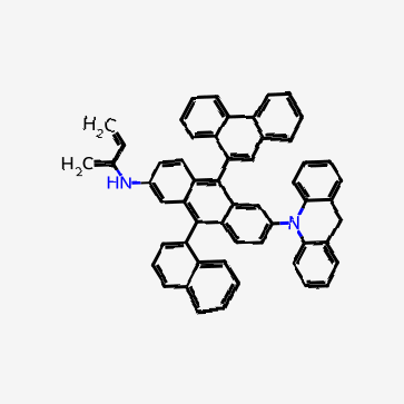 C=CC(=C)Nc1ccc2c(-c3cc4ccccc4c4ccccc34)c3cc(N4c5ccccc5Cc5ccccc54)ccc3c(-c3cccc4ccccc34)c2c1